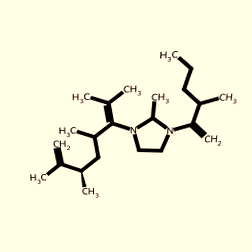 C=C(C)[C@H](C)CC(C)C(=C(C)C)N1CCN(C(=C)C(C)CCC)C1C